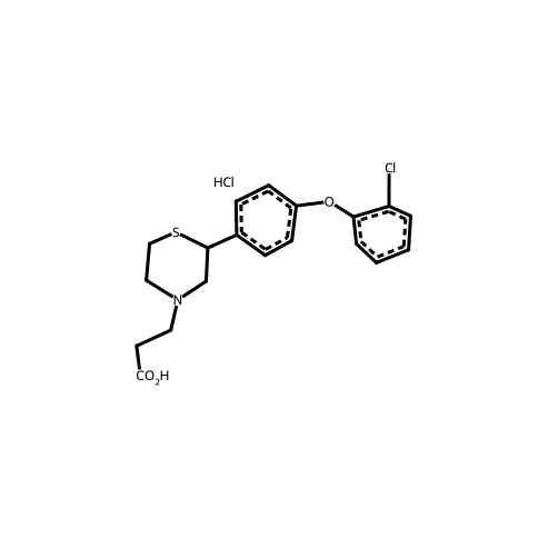 Cl.O=C(O)CCN1CCSC(c2ccc(Oc3ccccc3Cl)cc2)C1